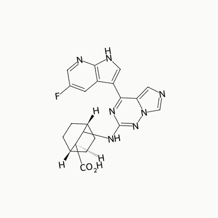 O=C(O)[C@@H]1C(Nc2nc(-c3c[nH]c4ncc(F)cc34)c3cncn3n2)[C@H]2CC[C@@H]1CC2